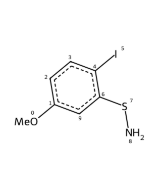 COc1ccc(I)c(SN)c1